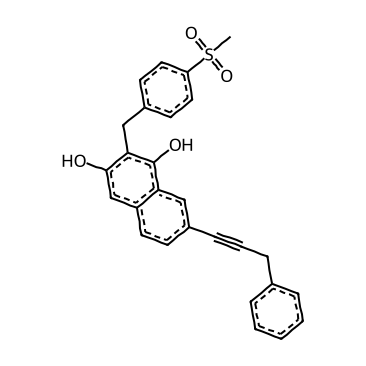 CS(=O)(=O)c1ccc(Cc2c(O)cc3ccc(C#CCc4ccccc4)cc3c2O)cc1